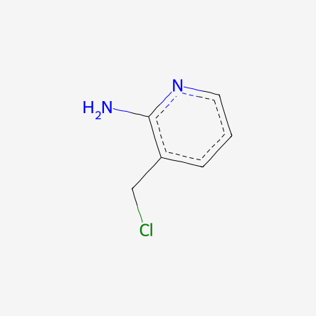 Nc1ncccc1CCl